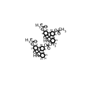 CC(=O)Oc1ccc(C2(c3ccc(OC(C)=O)cc3)C(=O)Nc3ccccc32)cc1.CC(=O)Oc1ccc(C2(c3ccc(OC(C)=O)cc3)C(=O)Nc3ccccc32)cc1